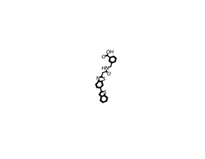 O=C(Cc1nc2ccc(-c3cc4ccccc4s3)cc2s1)NCc1cccc(C(=O)O)c1